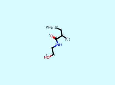 CCCCCCC(CC)C(=O)NCCO